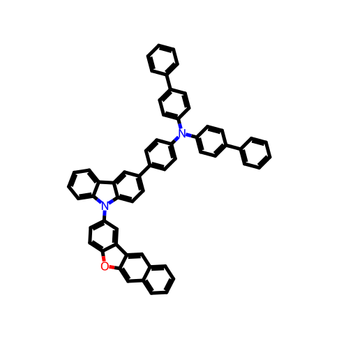 c1ccc(-c2ccc(N(c3ccc(-c4ccccc4)cc3)c3ccc(-c4ccc5c(c4)c4ccccc4n5-c4ccc5oc6cc7ccccc7cc6c5c4)cc3)cc2)cc1